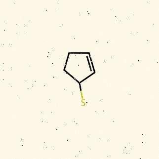 [S]C1C=CCC1